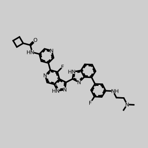 CN(C)CCNc1cc(F)cc(-c2cccc3[nH]c(-c4n[nH]c5cnc(-c6cncc(NC(=O)C7CCC7)c6)c(F)c45)nc23)c1